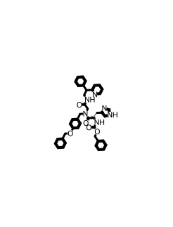 O=C(CN(Cc1ccc(OCc2ccccc2)cc1)C(=O)[C@H](Cc1c[nH]cn1)NC(=O)OCc1ccccc1)NCC(c1ccccc1)c1ccccn1